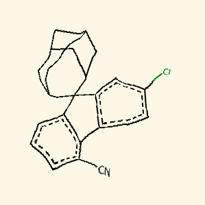 N#Cc1cccc2c1-c1ccc(Cl)cc1C21C2CC3CC(C2)CC1C3